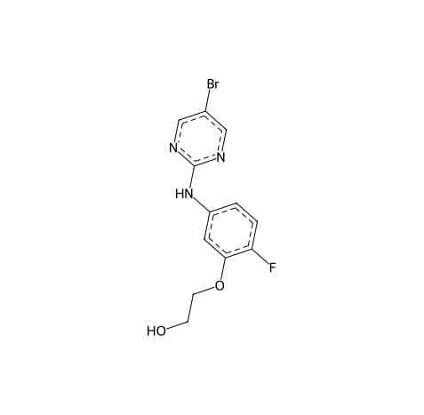 OCCOc1cc(Nc2ncc(Br)cn2)ccc1F